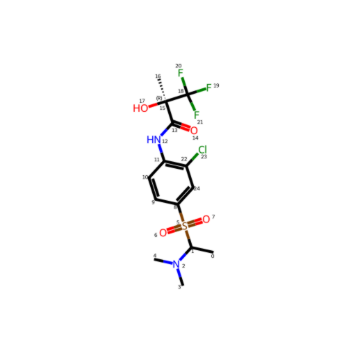 CC(N(C)C)S(=O)(=O)c1ccc(NC(=O)[C@@](C)(O)C(F)(F)F)c(Cl)c1